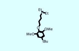 CCN(CC)CCCCOc1c(OC)cc(C(C)(C)C)cc1OC